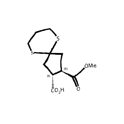 COC(=O)[C@@H]1CC2(C[C@H]1C(=O)O)SCCCS2